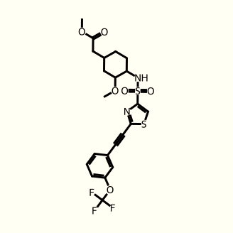 COC(=O)CC1CCC(NS(=O)(=O)c2csc(C#Cc3cccc(OC(F)(F)F)c3)n2)C(OC)C1